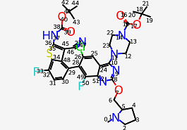 CN1CCCC1COc1nc(N2CCN(C(=O)OC(C)(C)C)CC2)c2cc(Cl)c(-c3ccc(F)c4sc(NC(=O)OC(C)(C)C)c(C#N)c34)c(F)c2n1